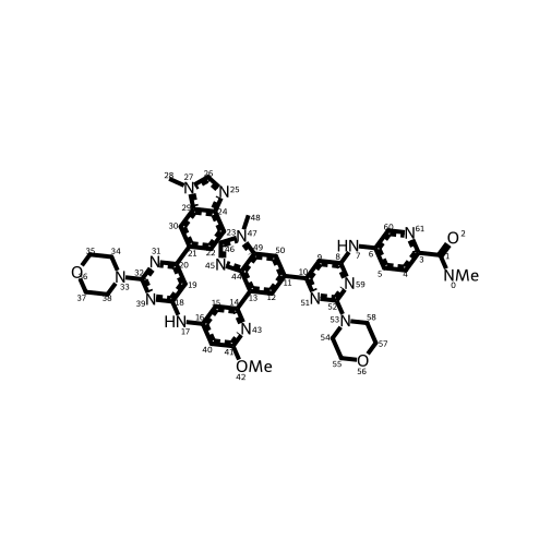 CNC(=O)c1ccc(Nc2cc(-c3cc(-c4cc(Nc5cc(-c6ccc7ncn(C)c7c6)nc(N6CCOCC6)n5)cc(OC)n4)c4ncn(C)c4c3)nc(N3CCOCC3)n2)cn1